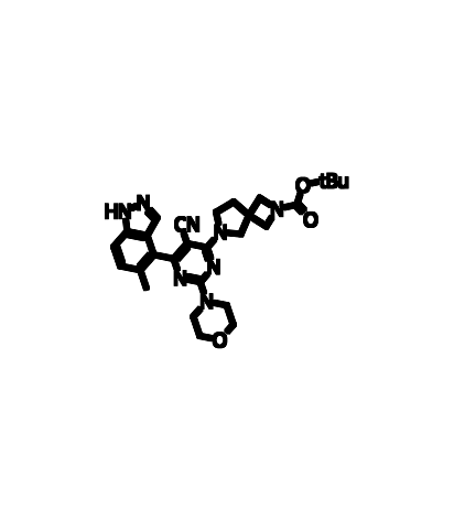 Cc1ccc2[nH]ncc2c1-c1nc(N2CCOCC2)nc(N2CCC3(CN(C(=O)OC(C)(C)C)C3)C2)c1C#N